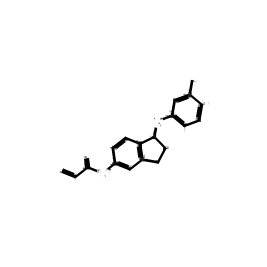 C=CC(=O)Nc1ccc2c(c1)CCC2Nc1cccc(C)c1